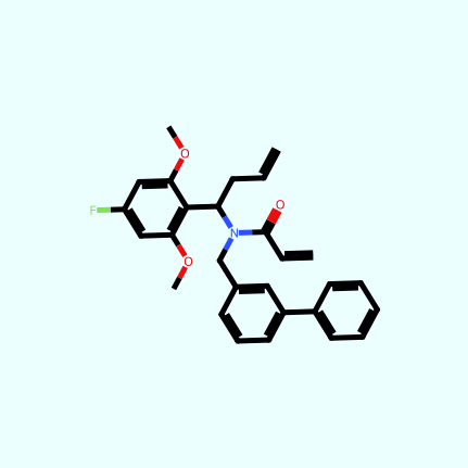 C=CCC(c1c(OC)cc(F)cc1OC)N(Cc1cccc(-c2ccccc2)c1)C(=O)C=C